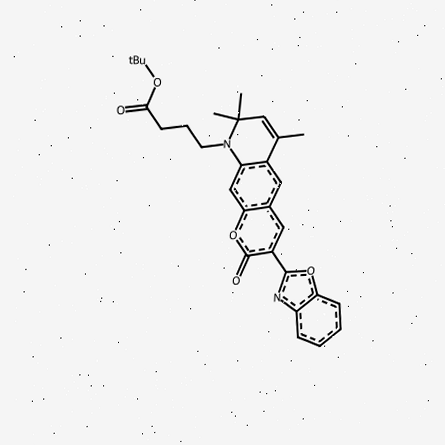 CC1=CC(C)(C)N(CCCC(=O)OC(C)(C)C)c2cc3oc(=O)c(-c4nc5ccccc5o4)cc3cc21